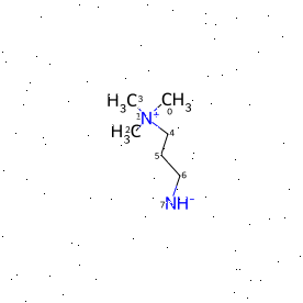 C[N+](C)(C)CCC[NH-]